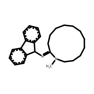 CN1CCCCCCCCCCCC1=NC1c2ccccc2-c2ccccc21